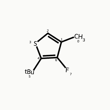 Cc1csc(C(C)(C)C)c1F